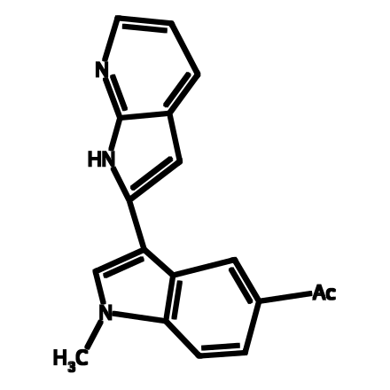 CC(=O)c1ccc2c(c1)c(-c1cc3cccnc3[nH]1)cn2C